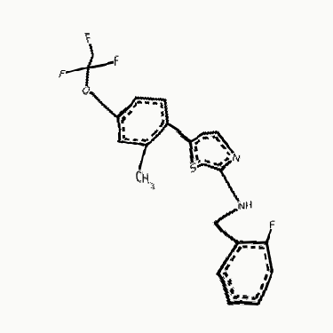 Cc1cc(OC(F)(F)F)ccc1-c1cnc(NCc2ccccc2F)s1